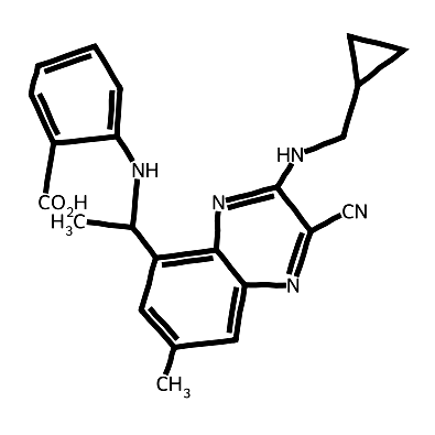 Cc1cc(C(C)Nc2ccccc2C(=O)O)c2nc(NCC3CC3)c(C#N)nc2c1